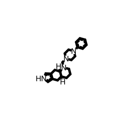 c1ccc(N2CCN(CN3CCC[C@H]4Cc5c[nH]cc5C[C@@H]43)CC2)cc1